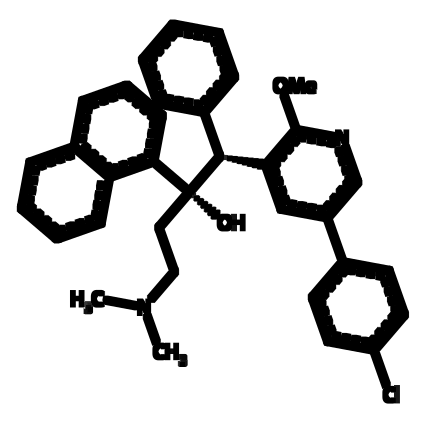 COc1ncc(-c2ccc(Cl)cc2)cc1[C@@H](c1ccccc1)[C@@](O)(CCN(C)C)c1cccc2ccccc12